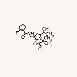 CC(C)C1C[C@H](CNC(=O)C2=C(F)CCC2)[C@@H](C)N1C(C)(C)C